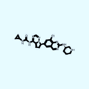 CCc1cc(-c2ccc3c(NC(=O)NC4CC4)ncnn23)cc2cnc(N[C@H]3CCCNC3)nc12